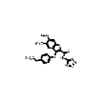 COc1cc2sc(C(=O)Nc3nnn[nH]3)c(Sc3ccc(CC(=O)O)cc3)c2cc1OC